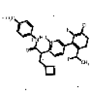 CCOC(=O)c1ccc(NC(=O)C(CC2CCC2)c2ccc(C3=C(C(C)F)CCC(Cl)=C3F)c[n+]2O)cc1